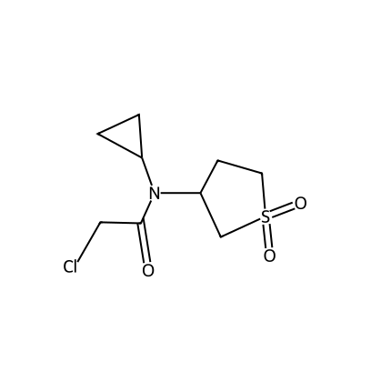 O=C(CCl)N(C1CC1)C1CCS(=O)(=O)C1